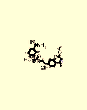 CCOC(=O)/C=C(/C)c1ccc(CCNS(=O)(=O)c2cc(C(=N)N)ccc2O)cc1.Cl